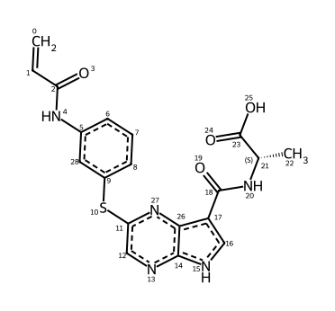 C=CC(=O)Nc1cccc(Sc2cnc3[nH]cc(C(=O)N[C@@H](C)C(=O)O)c3n2)c1